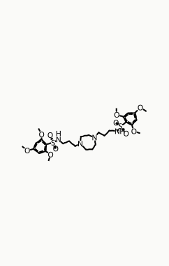 COc1cc(OC)c(S(=O)(=O)NCCCN2CCCN(CCCNS(=O)(=O)c3c(OC)cc(OC)cc3OC)CC2)c(OC)c1